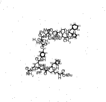 CC[C@H](C)[C@@H]([C@@H](CC(=O)N1CCC[C@H]1[C@H](OC)[C@@H](C)C(=O)N[C@@H](Cc1ccccc1)c1nccs1)OC)N(C)C(=O)[C@@H](NC(=O)C(C)(C)NC(=O)OCc1ccc(NC(=O)[C@H](CCCNC(N)=O)NC(=O)[C@@H](NC(=O)[C@H](CCCCNC(=O)OC(C)(C)C)NC(=O)Cc2cnc[nH]2)C(C)C)cc1)C(C)C